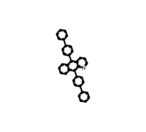 c1ccc(-c2ccc(-c3c4ccccc4c(-c4ccc(-c5ccccc5)cc4)c4ncccc34)cc2)cc1